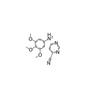 COc1cc(N)cc(OC)c1OC.N#Cc1ccncn1